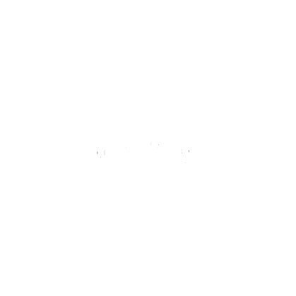 Cc1cc(C)c(OCC2OC2(C)C)c(C)c1C=O